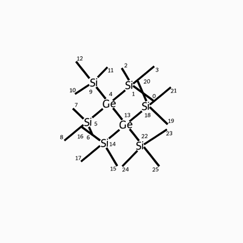 C[Si](C)(C)[Ge]([Si](C)(C)C)([Si](C)(C)C)[Ge]([Si](C)(C)C)([Si](C)(C)C)[Si](C)(C)C